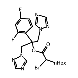 CCCCCCC(Br)C(=O)OC(Cn1cncn1)(Cn1cncn1)c1ccc(F)cc1F